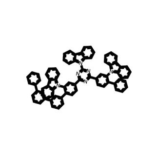 c1ccc(-c2cccc(-c3cccc(-c4ccc(-c5nc(-c6ccc(-c7ccccc7)c(-n7c8ccccc8c8ccccc87)c6)nc(-n6c7ccccc7c7ccccc76)n5)cc4-n4c5ccccc5c5ccccc54)c3)c2)cc1